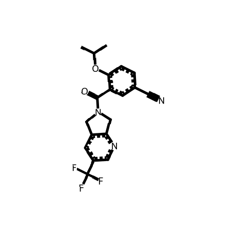 CC(C)Oc1ccc(C#N)cc1C(=O)N1Cc2cc(C(F)(F)F)cnc2C1